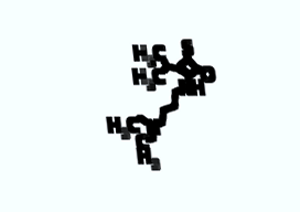 CCN(CC)CCCCNc1c(C(C)C)c(=S)c1=O